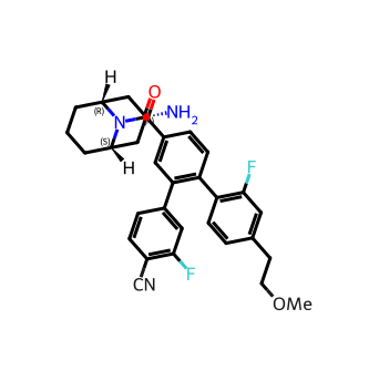 COCCc1ccc(-c2ccc(C(=O)N3[C@@H]4CCC[C@H]3C[C@@H](N)C4)cc2-c2ccc(C#N)c(F)c2)c(F)c1